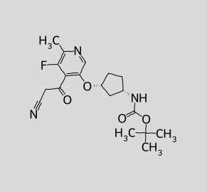 Cc1ncc(O[C@@H]2CC[C@H](NC(=O)OC(C)(C)C)C2)c(C(=O)CC#N)c1F